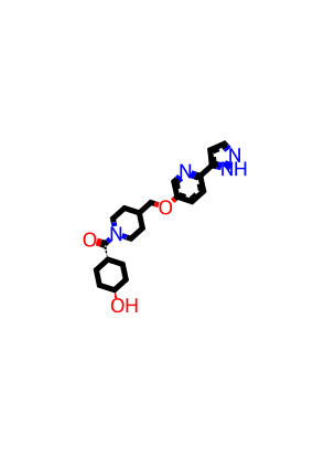 O=C([C@H]1CC[C@@H](O)CC1)N1CCC(COc2ccc(-c3ccn[nH]3)nc2)CC1